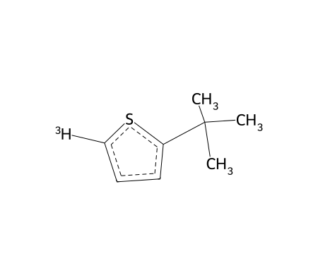 [3H]c1ccc(C(C)(C)C)s1